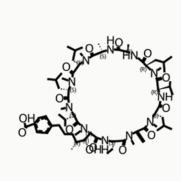 C=C1C(=O)N(C)[C@@H](CC(C)C)C(=O)N[C@H](C(C)C)C(=O)N(C)[C@H](CC(C)C)C(=O)N[C@H](C)C(=O)N[C@@H](C)C(=O)N(C)[C@@H](CC(C)C)C(=O)N(C)[C@@H](CC(C)C)C(=O)N(C)[C@@H](C(C)C)C(=O)N(C)[C@@H]([C@H](O)[C@H](C)CCCc2ccc(C(=O)O)cc2)C(=O)N[C@@H](CC)C(=O)N1C